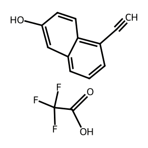 C#Cc1cccc2cc(O)ccc12.O=C(O)C(F)(F)F